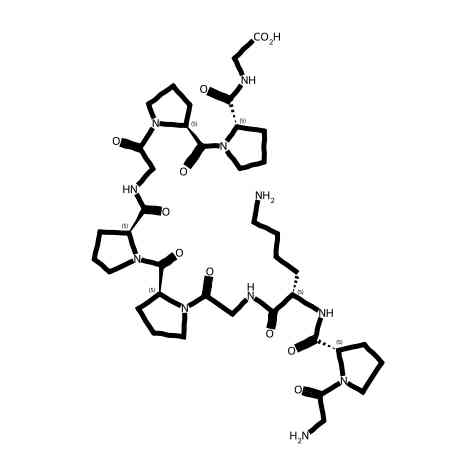 NCCCC[C@H](NC(=O)[C@@H]1CCCN1C(=O)CN)C(=O)NCC(=O)N1CCC[C@H]1C(=O)N1CCC[C@H]1C(=O)NCC(=O)N1CCC[C@H]1C(=O)N1CCC[C@H]1C(=O)NCC(=O)O